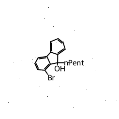 CCCCCC1(O)c2ccccc2-c2cccc(Br)c21